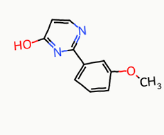 COc1cccc(-c2nccc(O)n2)c1